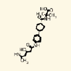 CC(=N)/C=C(\O)CC(=O)Nc1ccc([C@H]2CC[C@@H](C(=O)NC(C)(C)C(=O)O)CC2)cc1